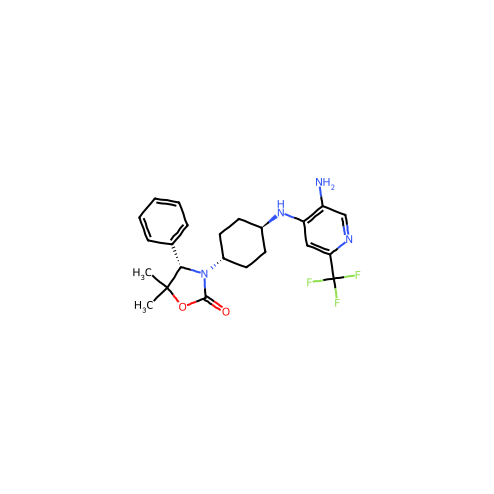 CC1(C)OC(=O)N([C@H]2CC[C@H](Nc3cc(C(F)(F)F)ncc3N)CC2)[C@H]1c1ccccc1